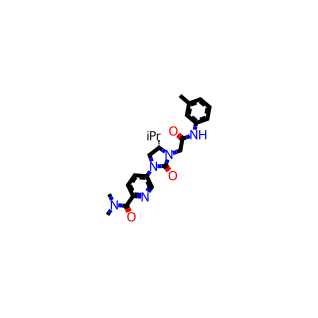 Cc1cccc(NC(=O)CN2C(=O)N(c3ccc(C(=O)N(C)C)nc3)C[C@@H]2C(C)C)c1